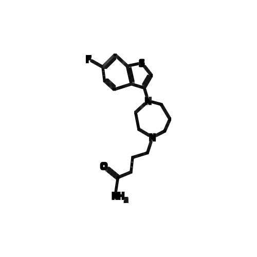 NC(=O)CCCN1CCCN(c2csc3cc(F)ccc23)CC1